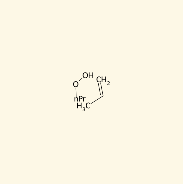 C=CC.CCCOO